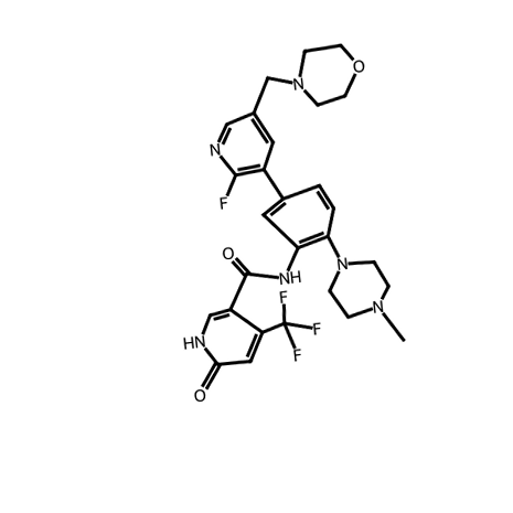 CN1CCN(c2ccc(-c3cc(CN4CCOCC4)cnc3F)cc2NC(=O)c2c[nH]c(=O)cc2C(F)(F)F)CC1